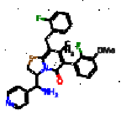 COc1cccc(-c2c(C)c(Cc3ccccc3F)c3n(c2=O)C(C(N)c2ccncc2)CS3)c1F